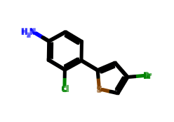 Nc1ccc(-c2cc(Br)cs2)c(Cl)c1